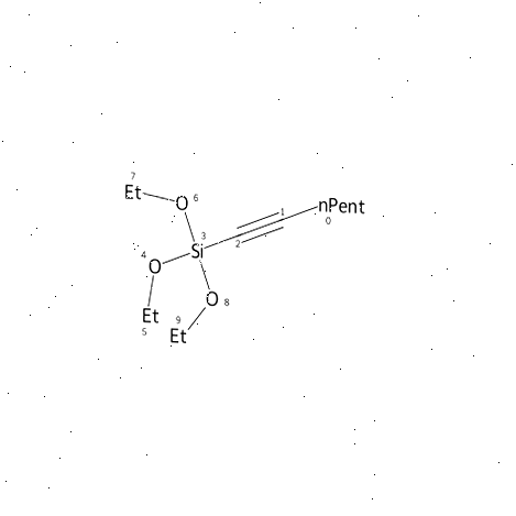 CCCCCC#C[Si](OCC)(OCC)OCC